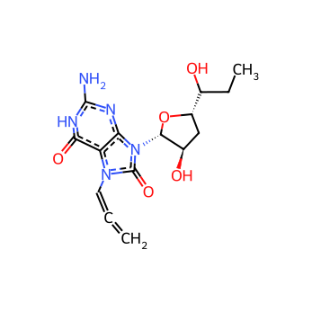 C=C=Cn1c(=O)n([C@@H]2O[C@H](C(O)CC)C[C@H]2O)c2nc(N)[nH]c(=O)c21